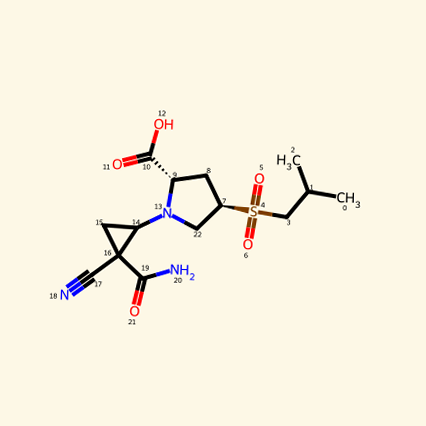 CC(C)CS(=O)(=O)[C@@H]1C[C@@H](C(=O)O)N(C2CC2(C#N)C(N)=O)C1